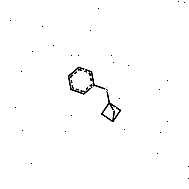 c1ccc(SC23CC(C2)C3)cc1